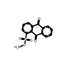 NOS(=O)(=O)c1cccc2c1C(=O)c1ccccc1C2=O